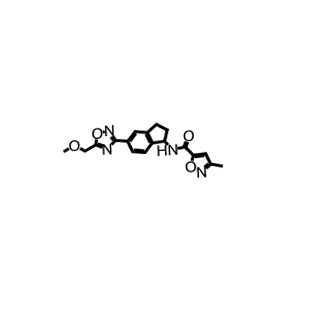 COCc1nc(-c2ccc3c(c2)CCC3NC(=O)c2cc(C)no2)no1